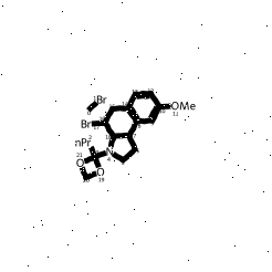 CBr.CCCC1(N2CCC3c4cc(OC)ccc4CC(Br)C32)OCO1